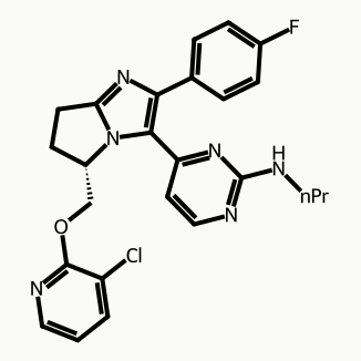 CCCNc1nccc(-c2c(-c3ccc(F)cc3)nc3n2[C@H](COc2ncccc2Cl)CC3)n1